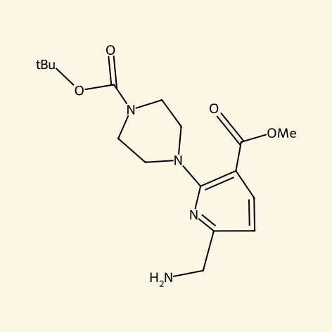 COC(=O)c1ccc(CN)nc1N1CCN(C(=O)OC(C)(C)C)CC1